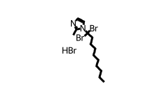 Br.CCCCCCCCCC(Br)(Br)n1ccnc1C